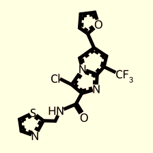 O=C(NCc1nccs1)c1nc2c(C(F)(F)F)cc(-c3ccco3)cn2c1Cl